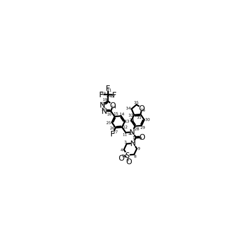 O=C(N1CCS(=O)(=O)CC1)N(Cc1ccc(-c2nnc(C(F)(F)F)o2)cc1F)c1ccc2c(c1)CCO2